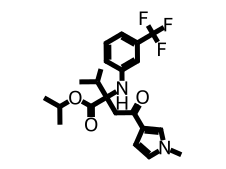 CC(C)OC(=O)C(CC(=O)c1ccn(C)c1)(Nc1cccc(C(F)(F)F)c1)C(C)C